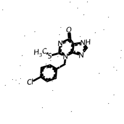 CSc1nc(=O)c2[nH]cnc2n1Cc1ccc(Cl)cc1